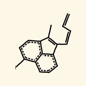 C=C/C=C\C1=C(C)c2ccc(I)c3cccc1c23